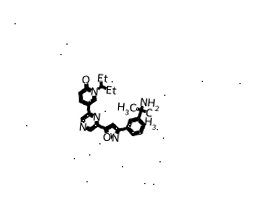 CCC(CC)n1cc(-c2cncc(-c3cc(-c4cccc(C(C)(C)N)c4)no3)n2)ccc1=O